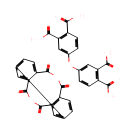 O=C(O)c1ccc(Oc2ccc(C(=O)O)c(C(=O)O)c2)cc1C(=O)O.O=C1OC(=O)c2ccc3cc2C(=O)OC(=O)c2cc-3ccc21